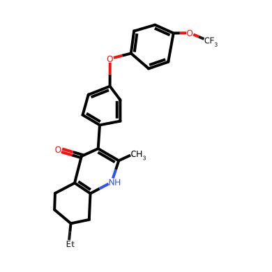 CCC1CCc2c([nH]c(C)c(-c3ccc(Oc4ccc(OC(F)(F)F)cc4)cc3)c2=O)C1